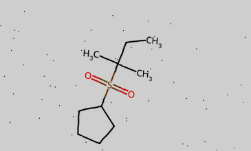 CCC(C)(C)S(=O)(=O)C1CCCC1